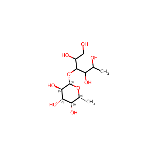 CC(O)C(O)C(O[C@@H]1O[C@H](C)[C@H](O)[C@H](O)[C@H]1O)C(O)CO